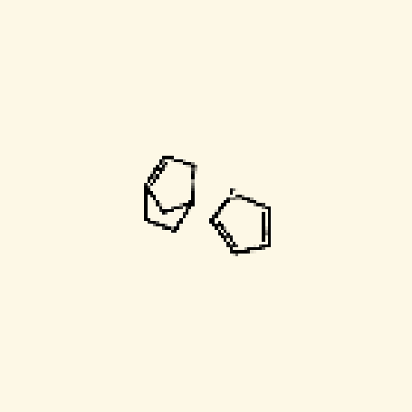 C1=C2CCC(C1)C2.c1ccsc1